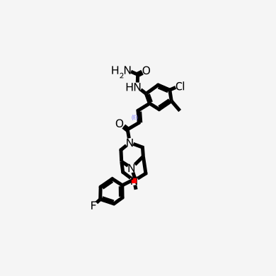 Cc1cc(/C=C/C(=O)N2CC3CN(C)CC(C2)N3Cc2ccc(F)cc2)c(NC(N)=O)cc1Cl